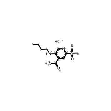 CCCCNc1cnc(S(C)(=O)=O)cc1C(N)=O.Cl